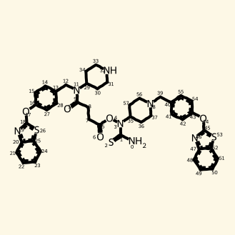 NC(=S)N(OC(=O)CCC(=O)N(Cc1ccc(Oc2nc3ccccc3s2)cc1)C1CCNCC1)C1CCN(Cc2ccc(Oc3nc4ccccc4s3)cc2)CC1